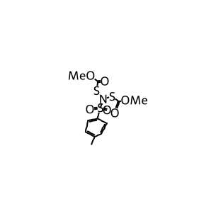 COC(=O)SN(SC(=O)OC)S(=O)(=O)c1ccc(C)cc1